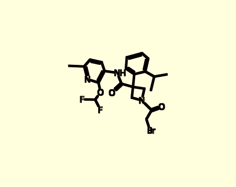 Cc1ccc(NC(=O)C2(c3ccccc3C(C)C)CN(C(=O)CBr)C2)c(OC(F)F)n1